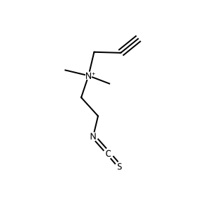 C#CC[N+](C)(C)CCN=C=S